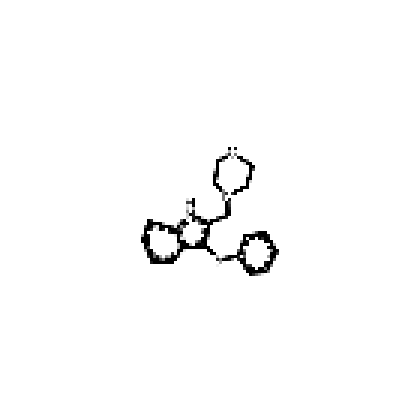 c1ccc(Sc2c(CN3CCOCC3)[nH]c3ccccc23)cc1